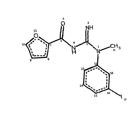 CN(C(=N)NC(=O)c1ccco1)c1cccc(I)c1